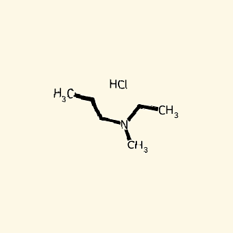 CCCN(C)CC.Cl